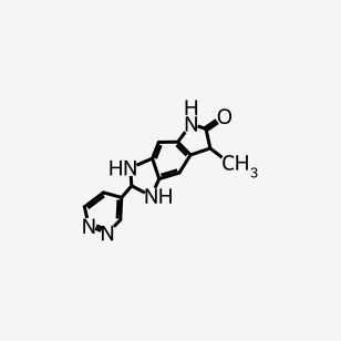 CC1C(=O)Nc2cc3c(cc21)NC(c1ccnnc1)N3